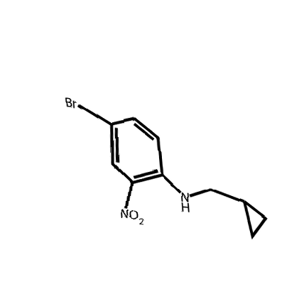 O=[N+]([O-])c1cc(Br)ccc1NCC1CC1